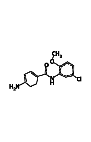 COc1ccc(Cl)cc1NC(=O)C1=CC=C(N)CC1